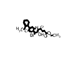 CCOC(=O)CCC(=O)c1nc2cc(-c3ccccc3C(C)C)ccc2c(Br)c1O